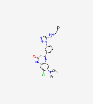 CC(C)N(C)c1cc2c(cc1Cl)NC(=O)CC(c1cccc(-n3nncc3CNCC3CC3)c1)=N2